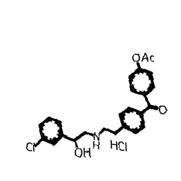 CC(=O)Oc1ccc(C(=O)c2ccc(CCNC[C@@H](O)c3cccc(Cl)c3)cc2)cc1.Cl